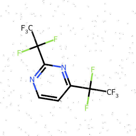 FC(F)(F)C(F)(F)c1[c]cnc(C(F)(F)C(F)(F)F)n1